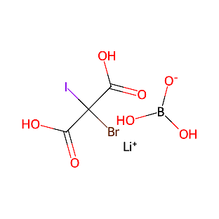 O=C(O)C(Br)(I)C(=O)O.[Li+].[O-]B(O)O